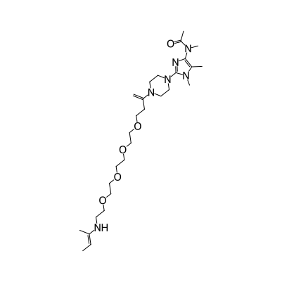 C=C(CCOCCOCCOCCOCCN/C(C)=C/C)N1CCN(c2nc(N(C)C(C)=O)c(C)n2C)CC1